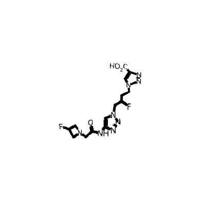 O=C(CN1CC(F)C1)Nc1cn(CC(F)CCn2cc(C(=O)O)nn2)nn1